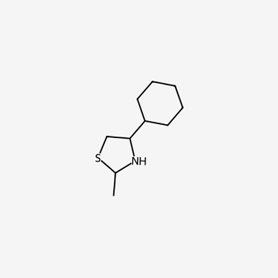 CC1NC(C2CCCCC2)CS1